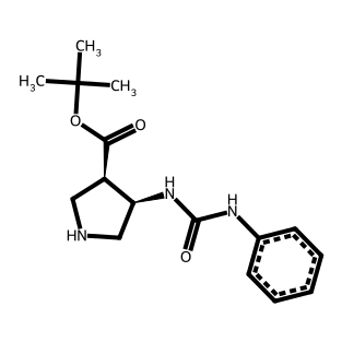 CC(C)(C)OC(=O)[C@@H]1CNC[C@@H]1NC(=O)Nc1ccccc1